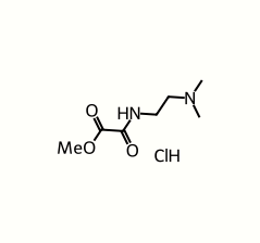 COC(=O)C(=O)NCCN(C)C.Cl